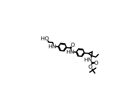 CCC1(NC(=O)OC(C)(C)C)CC1c1ccc(NC(=O)c2ccc(NCCO)cc2)cc1